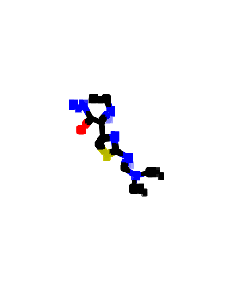 CO/N=C(\C(N)=O)c1csc(/N=C/N(C)C)n1